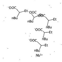 CCCCC(CC)C(=O)[O-].CCCCC(CC)C(=O)[O-].CCCCC(CC)C(=O)[O-].CCCCC(CC)C(=O)[O-].CCCCC(CC)C(=O)[O-].[Nb+5]